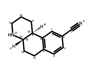 N#Cc1ccc2c(c1)[C@@H]1CCCN[C@H]1CC2